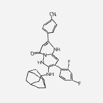 N#Cc1ccc(C2=CC(=O)N3NC(NC45CC6CC(CC(C6)C4)C5)=C(c4ccc(F)cc4F)C=C3N2)cc1